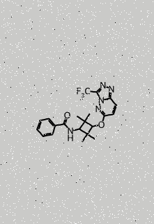 CC1(C)C(NC(=O)c2ccccc2)C(C)(C)C1Oc1ccc2nnc(C(F)(F)F)n2n1